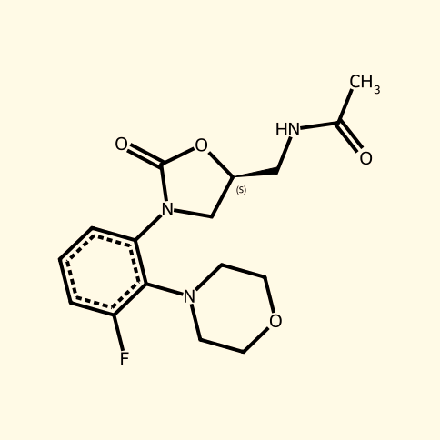 CC(=O)NC[C@H]1CN(c2cccc(F)c2N2CCOCC2)C(=O)O1